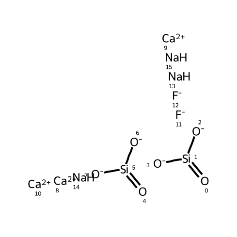 O=[Si]([O-])[O-].O=[Si]([O-])[O-].[Ca+2].[Ca+2].[Ca+2].[F-].[F-].[NaH].[NaH].[NaH]